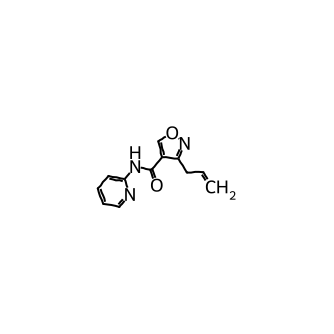 C=CCc1nocc1C(=O)Nc1ccccn1